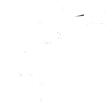 O=C(NCc1ccnc(OCF)c1)N[C@@H]1C[C@H]1c1ccccc1